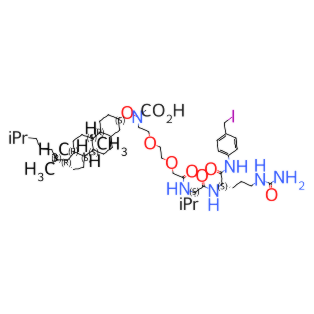 CC(C)CCC[C@@H](C)[C@H]1CC[C@H]2[C@@H]3CC=C4C[C@@H](ON(CCOCCOCC(=O)N[C@H](C(=O)N[C@@H](CCCNC(N)=O)C(=O)Nc5ccc(CI)cc5)C(C)C)C(=O)O)CC[C@]4(C)[C@H]3CC[C@]12C